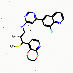 CSC(c1ccnc2c1OCCO2)[C@H](C)CNc1cc(-c2cc(F)c3ncccc3c2)ncn1